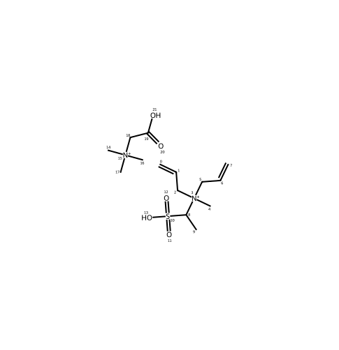 C=CC[N+](C)(CC=C)C(C)S(=O)(=O)O.C[N+](C)(C)CC(=O)O